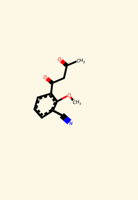 COc1c(C#N)cccc1C(=O)CC(C)=O